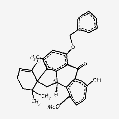 COc1ccc(O)c2c1[C@@H]1CC3(C(C)=CCCC3(C)C)c3c(C)cc(OCc4ccccc4)c(c31)C2=O